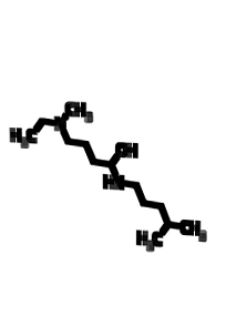 CCN(C)CCCC(O)NCCCC(C)C